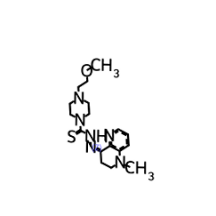 COCCN1CCN(C(=S)N/N=C2/CCN(C)c3cccnc32)CC1